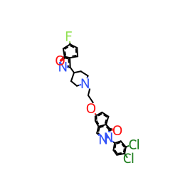 O=c1c2ccc(OCCCN3CCC(c4noc5cc(F)ccc45)CC3)cc2cnn1-c1ccc(Cl)c(Cl)c1